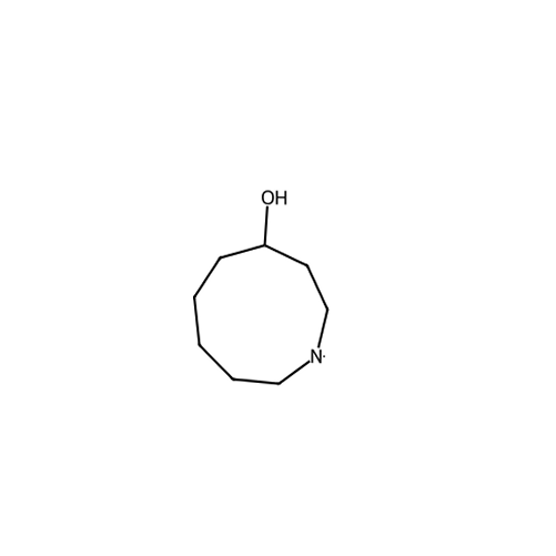 OC1CCCCC[N]CC1